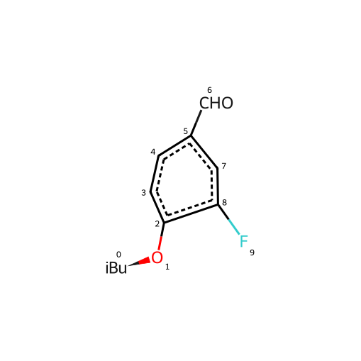 CC[C@H](C)Oc1ccc(C=O)cc1F